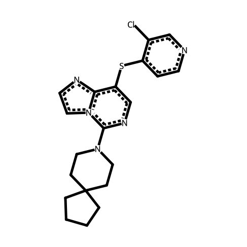 Clc1cnccc1Sc1cnc(N2CCC3(CCCC3)CC2)n2ccnc12